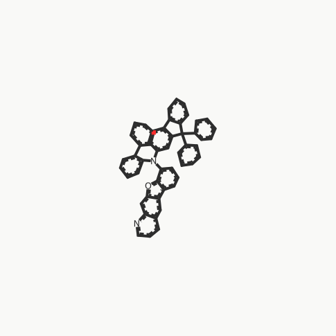 c1ccc(-c2ccccc2N(c2ccc3c(c2)C(c2ccccc2)(c2ccccc2)c2ccccc2-3)c2cccc3c2oc2cc4ncccc4cc23)cc1